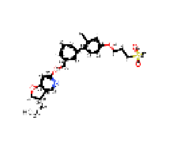 Cc1cc(OCCCS(C)(=O)=O)ccc1-c1cccc(COc2cc3c(cn2)[C@H](CC(=O)O)CO3)c1